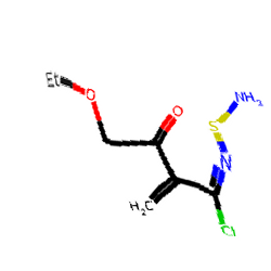 C=C(C(=O)COCC)/C(Cl)=N\SN